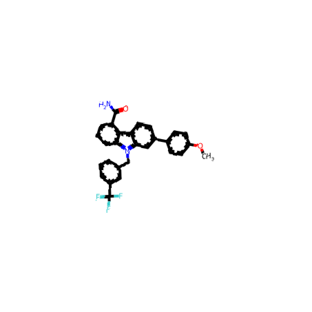 COc1ccc(-c2c[c]c3c4c(C(N)=O)cccc4n(Cc4cccc(C(F)(F)F)c4)c3c2)cc1